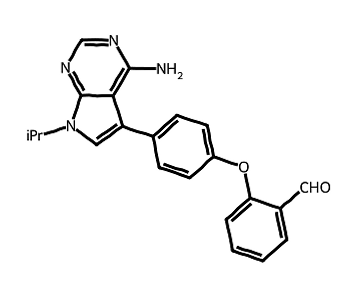 CC(C)n1cc(-c2ccc(Oc3ccccc3C=O)cc2)c2c(N)ncnc21